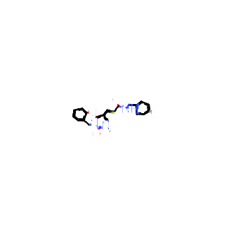 Cn1c(=O)n(Cc2ccccc2)c(=O)c2cc(C(=O)NCc3ccc(Cl)cc3)sc21